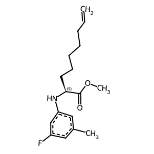 C=CCCCCC[C@H](Nc1cc(C)cc(F)c1)C(=O)OC